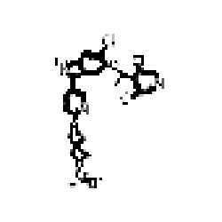 C[C@@H](Oc1cc2c(-c3ccc(N4CC5(C4)CN([S+](C)[O-])C5)nc3)n[nH]c2cc1Cl)c1c(Cl)cncc1Cl